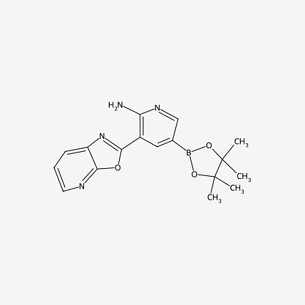 CC1(C)OB(c2cnc(N)c(-c3nc4cccnc4o3)c2)OC1(C)C